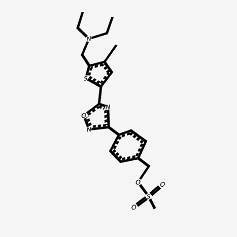 CCN(CC)Cc1sc(-c2nc(-c3ccc(COS(C)(=O)=O)cc3)no2)cc1C